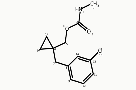 CNC(=O)OCC1(Cc2cccc(Cl)c2)CC1